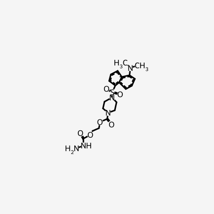 CN(C)c1cccc2c(S(=O)(=O)N3CCN(C(=O)OCCOC(=O)NN)CC3)cccc12